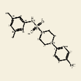 [C-]#[N+]c1ccc(N2CCN(S(=O)(=O)Nc3cc(C)cc(C)n3)CC2)nc1